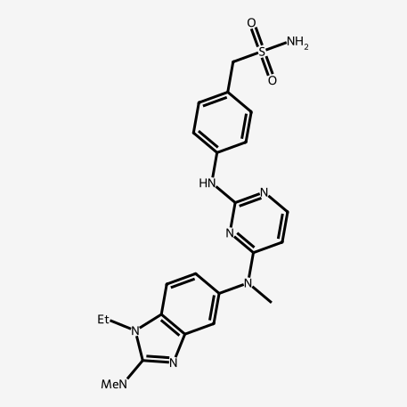 CCn1c(NC)nc2cc(N(C)c3ccnc(Nc4ccc(CS(N)(=O)=O)cc4)n3)ccc21